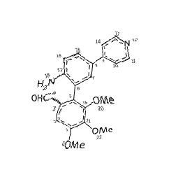 COc1cc(C=O)c(-c2cc(-c3ccncc3)ccc2N)c(OC)c1OC